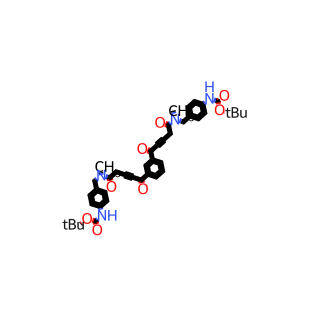 CN(Cc1ccc(NC(=O)OC(C)(C)C)cc1)C(=O)CC#CC(=O)c1cccc(C(=O)C#CCC(=O)N(C)Cc2ccc(NC(=O)OC(C)(C)C)cc2)c1